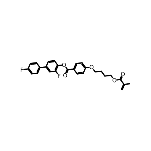 C=C(C)C(=O)OCCCCOc1ccc(C(=O)Oc2ccc(-c3ccc(F)cc3)cc2F)cc1